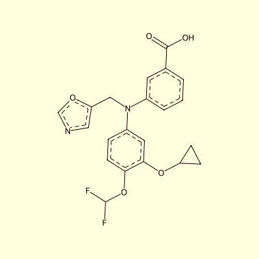 O=C(O)c1cccc(N(Cc2cnco2)c2ccc(OC(F)F)c(OC3CC3)c2)c1